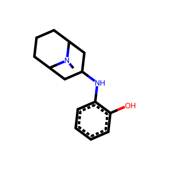 CN1C2CCCC1CC(Nc1ccccc1O)C2